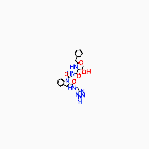 CC(O)C(NC(=O)Cc1ccccc1)C(=O)NCC(=O)N1c2ccccc2C[C@H]1C(=O)NCc1nn[nH]n1